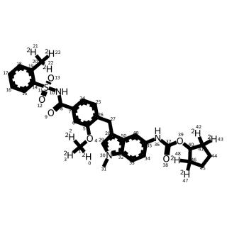 [2H]C([2H])([2H])Oc1cc(C(=O)NS(=O)(=O)c2ccccc2C([2H])([2H])[2H])ccc1Cc1cn(C)c2ccc(NC(=O)OC3C([2H])([2H])CCC3([2H])[2H])cc12